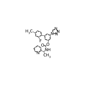 Cc1ccc(-c2cc(OC(=O)NC(C)c3ccccn3)cc(-n3cnnn3)c2)c(F)c1